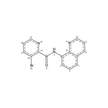 O=C(Nc1cccc2cccnc12)c1ncccc1Br